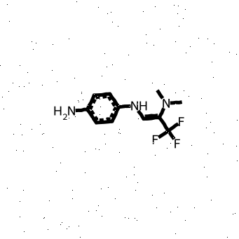 CN(C)/C(=C\Nc1ccc(N)cc1)C(F)(F)F